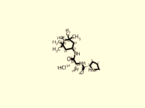 CC(C)[C@@H](NC(=O)[C@@H]1CCCN1)C(=O)NC1CC(C)(C)N(O)C(C)(C)C1.Cl